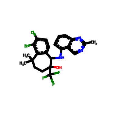 Cc1ncc2c(NC3c4ccc(Cl)c(Br)c4C(C)(C)CCC3(O)C(F)(F)F)cccc2n1